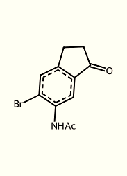 CC(=O)Nc1cc2c(cc1Br)CCC2=O